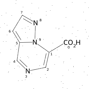 O=C(O)c1cncc2ccnn12